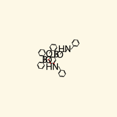 c1ccc(CNCCOB(c2ccccc2)c2ccccc2Oc2ccccc2B(OCCNCc2ccccc2)c2ccccc2)cc1